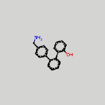 NCc1ccc(-c2ccccc2-c2ccccc2O)cc1